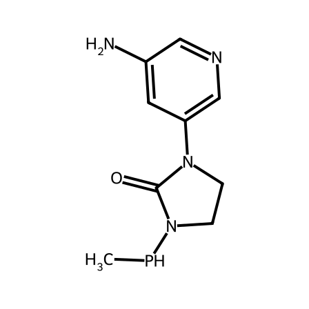 CPN1CCN(c2cncc(N)c2)C1=O